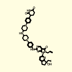 C=CCn1c(=O)c2cnc(Nc3ccc(N4CCC(NC5CCN(c6ccc(C7CCC(=O)NC7=O)cc6)CC5)CC4)cc3)nc2n1-c1ccc2c(n1)[C@@](O)(CI)CC2